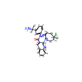 CC(C)(N)c1cccc(NC(=O)c2cc3ccccc3nc2N2CCCC(F)(F)CC2)c1